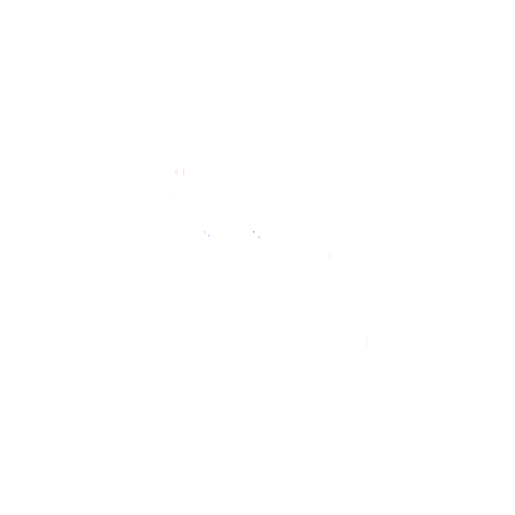 Cc1ccc2c(c1)c1cc(-c3ccc(Cl)cc3Cl)c(=O)n(C)c1n2C(C)C(=O)O